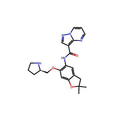 CC1(C)Cc2cc(NC(=O)c3cnn4cccnc34)c(OC[C@H]3CCCN3)cc2O1